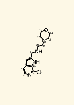 Clc1nccc2cc(CNCCN3CCOCC3)[nH]c12